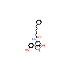 CN1CC[C@@]2(c3cccc(O)c3)C[C@@H](NC(=O)CCCCCc3ccccc3)CC[C@]2(O)C1